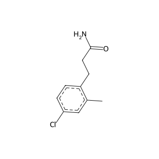 Cc1cc(Cl)ccc1CCC(N)=O